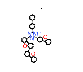 c1ccc(-c2ccc(C3=NC(c4cccc5oc6c(-c7cccc8c7oc7ccccc78)cccc6c45)=NC(c4ccc5c(c4)oc4ccccc45)N3)cc2)cc1